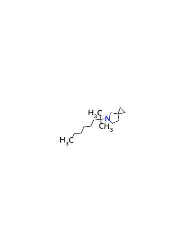 CCCCCCC(C)(C)N1CCC2(CC2)C1